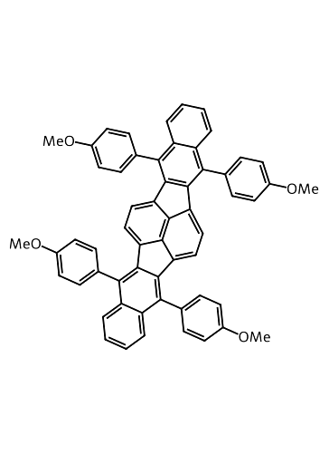 COc1ccc(-c2c3c(c(-c4ccc(OC)cc4)c4ccccc24)-c2ccc4c5c(ccc-3c25)-c2c-4c(-c3ccc(OC)cc3)c3ccccc3c2-c2ccc(OC)cc2)cc1